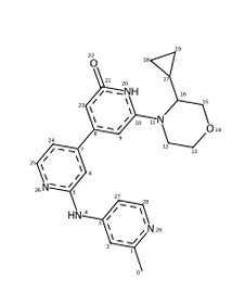 Cc1cc(Nc2cc(-c3cc(N4CCOCC4C4CC4)[nH]c(=O)c3)ccn2)ccn1